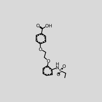 CCS(=O)(=O)Nc1ccccc1OCCOc1ccc(C(=O)O)cc1